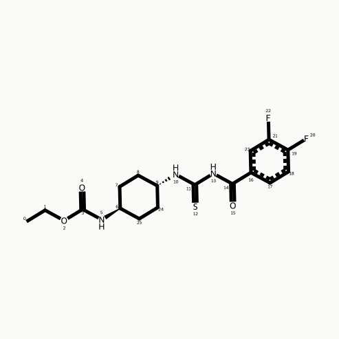 CCOC(=O)N[C@H]1CC[C@H](NC(=S)NC(=O)c2ccc(F)c(F)c2)CC1